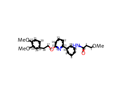 COCCC(=O)Nc1cccc(-c2cccc(OCCc3ccc(OC)c(OC)c3)n2)c1